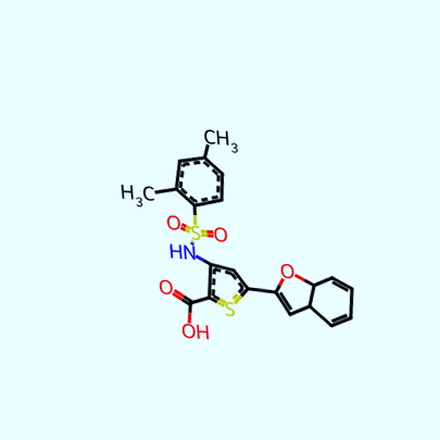 Cc1ccc(S(=O)(=O)Nc2cc(C3=CC4C=CC=CC4O3)sc2C(=O)O)c(C)c1